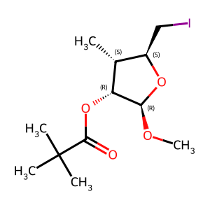 CO[C@@H]1O[C@H](CI)[C@@H](C)[C@H]1OC(=O)C(C)(C)C